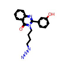 [N-]=[N+]=NCCCCn1c(-c2cccc(O)c2)nc2ccccc2c1=O